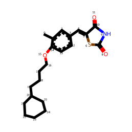 Cc1cc(/C=C2\SC(=O)NC2=O)ccc1OCCCCC1CCCCC1